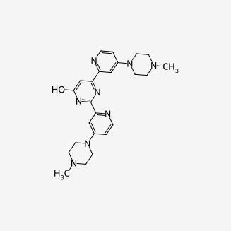 CN1CCN(c2ccnc(-c3cc(O)nc(-c4cc(N5CCN(C)CC5)ccn4)n3)c2)CC1